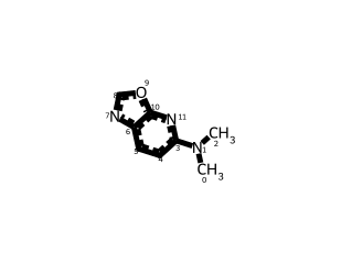 CN(C)c1ccc2ncoc2n1